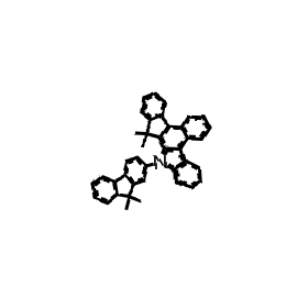 CC1(C)c2ccccc2-c2ccc(-n3c4ccccc4c4c5ccccc5c5c(c43)C(C)(C)c3ccccc3-5)cc21